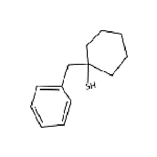 SC1(Cc2ccccc2)CCCCC1